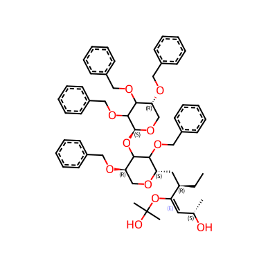 CC[C@H](C[C@@H]1OC[C@@H](OCc2ccccc2)C(O[C@@H]2OC[C@@H](OCc3ccccc3)C(OCc3ccccc3)C2OCc2ccccc2)C1OCc1ccccc1)/C(=C\[C@H](C)O)OC(C)(C)O